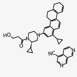 N#Cc1cncc2cnccc12.O=C(CCO)N1CCN(c2cc(C3CC3)c3ccc4c(c3c2)CCC2=C4C=CCC2)C[C@H]1C1CC1